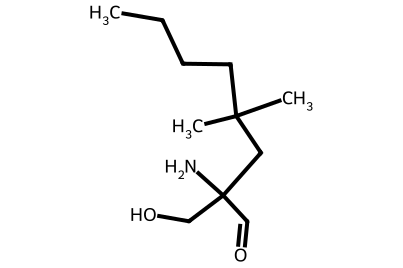 CCCCC(C)(C)CC(N)(C=O)CO